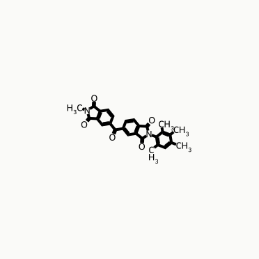 Cc1cc(C)c(N2C(=O)c3ccc(C(=O)c4ccc5c(c4)C(=O)N(C)C5=O)cc3C2=O)c(C)c1C